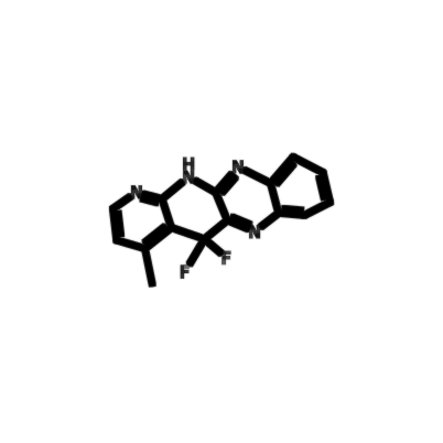 Cc1ccnc2c1C(F)(F)c1nc3ccccc3nc1N2